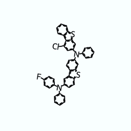 Fc1ccc(N(c2ccccc2)c2ccc3sc4cc(N(c5ccccc5)c5cc(Cl)c6c(c5)sc5ccccc56)ccc4c3c2)cc1